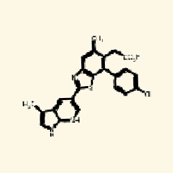 CC1=CNC2NC=C(c3nc4cc(C)c(CC(=O)O)c(-c5ccc(Cl)cc5)c4s3)C=C12